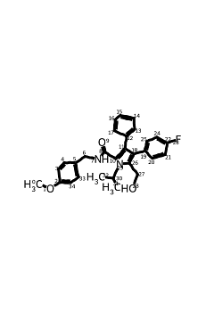 COc1ccc(CNC(=O)c2c(-c3ccccc3)c(-c3ccc(F)cc3)c(CO)n2C(C)C)cc1